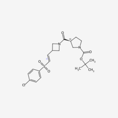 CC(C)(C)OC(=O)N1CC[C@H](C(=O)N2CC(/C=C/S(=O)(=O)c3ccc(Cl)cc3)C2)C1